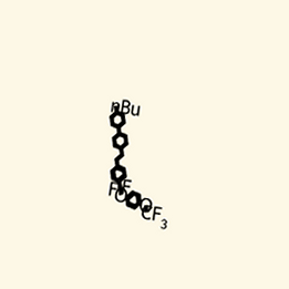 CCCCC1CCC(C2CCC(CCc3ccc(C(F)(F)Oc4ccc(OC(F)(F)F)cc4)cc3)CC2)CC1